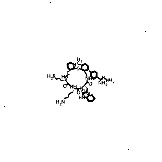 Cc1ccc(-c2ccc(/C(N)=N/N)cc2)c2c1Sc1ncccc1CN[C@@H](CCCN)C(=O)N[C@@H](CCCCN)C(=O)N(C)[C@@H](Cc1c[nH]c3ccccc13)C(=O)NC2